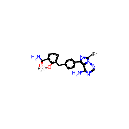 CC(C)c1nc(-c2ccc(Cc3cccc(C(N)=O)c3OC(F)(F)F)cc2)c2c(N)ncnn12